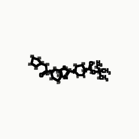 CC(C)(C)OC(=O)N1CCN(c2nc3c(s2)CN(C(=O)CC2CCCC2)CC3)CC1